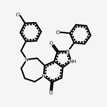 O=c1c2c3n(c(=O)cc2[nH]n1-c1ccccc1Cl)CCCN(Cc1cccc(Cl)c1)C3